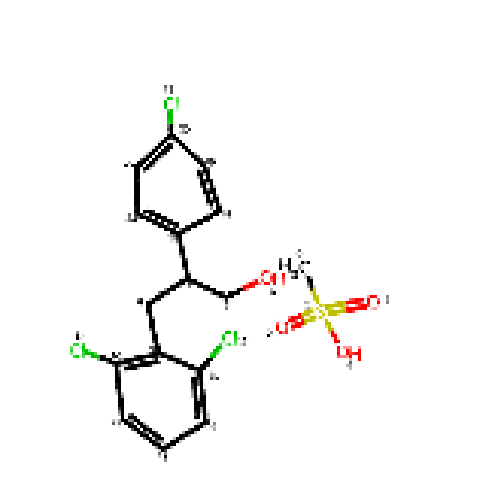 CS(=O)(=O)O.OCC(Cc1c(Cl)cccc1Cl)c1ccc(Cl)cc1